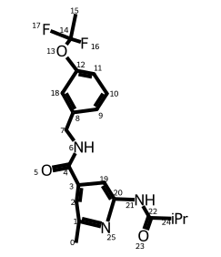 Cc1cc(C(=O)NCc2cccc(OC(C)(F)F)c2)cc(NC(=O)C(C)C)n1